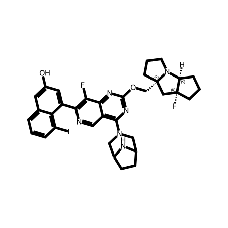 Oc1cc(-c2ncc3c(N4CC5CCC(C4)N5)nc(OC[C@]45CCCN4[C@H]4CCC[C@@]4(F)C5)nc3c2F)c2c(I)cccc2c1